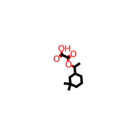 CC(OC(=O)C(=O)O)C1CCCC(C)(C)C1